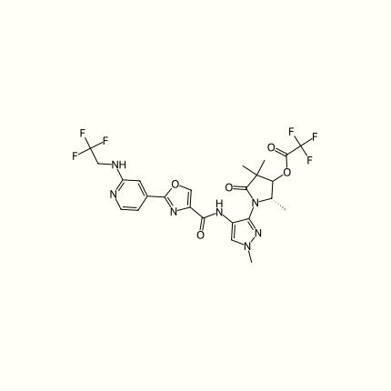 C[C@H]1C(OC(=O)C(F)(F)F)C(C)(C)C(=O)N1c1nn(C)cc1NC(=O)c1coc(-c2ccnc(NCC(F)(F)F)c2)n1